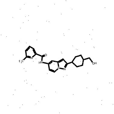 O=C(Nc1ccn2nc(C3CCC(CO)CC3)cc2c1)c1cccc(C(F)(F)F)n1